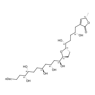 CCCCCCCCCCCC[C@@H](O)[C@H](O)CC[C@H](O)C[C@@H](O)C[C@H](O)[C@@H]1CC[C@@H]([C@H](O)CC[C@@H](O)CC2=C[C@H](C)OC2=O)O1